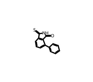 O=C1NC(=S)c2cccc(-c3ccccc3)c21